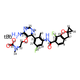 Cc1c(NC(=O)c2ccc3c(c2F)OC2(CC2)C3)cc(F)cc1-c1ncnc(N)c1OCCN(C)C(=O)OC(C)(C)C